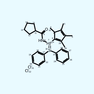 CC1=C(C)C(C)[C]([Hf+2]([NH]C(=O)C2CCCC2)[SiH](c2ccccc2)c2ccccc2)=C1C.[Cl-].[Cl-]